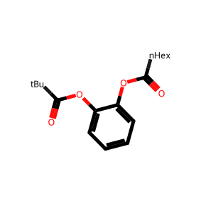 CCCCCCC(=O)Oc1ccccc1OC(=O)C(C)(C)C